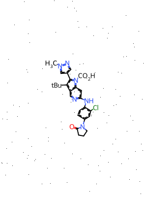 Cn1cc(-c2c(C(C)(C)C)c3cnc(Nc4ccc(N5CCCC5=O)cc4Cl)cc3n2C(=O)O)cn1